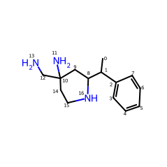 CC(c1ccccc1)C1CC(N)(CN)CCN1